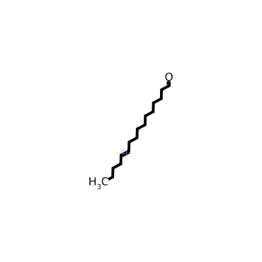 CCCC/C=C/CCCCCCCCCC=O